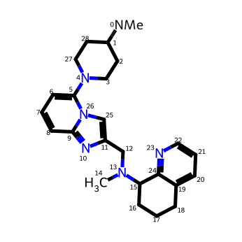 CNC1CCN(c2cccc3nc(CN(C)C4CCCc5cccnc54)cn23)CC1